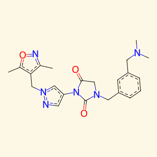 Cc1noc(C)c1Cn1cc(N2C(=O)CN(Cc3cccc(CN(C)C)c3)C2=O)cn1